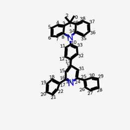 CC1(C)c2ccccc2N(c2ccc(-c3cc(-c4ccccc4)nc(-c4ccccc4)c3)cc2)c2ccccc21